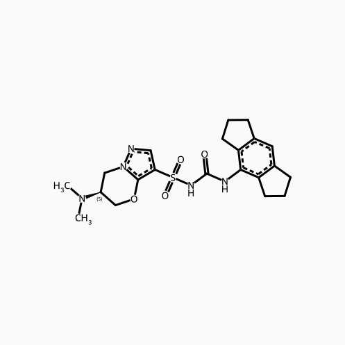 CN(C)[C@@H]1COc2c(S(=O)(=O)NC(=O)Nc3c4c(cc5c3CCC5)CCC4)cnn2C1